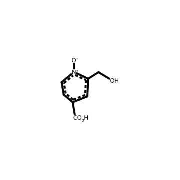 O=C(O)c1cc[n+]([O-])c(CO)c1